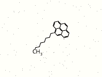 CCCCCCCCc1cc2[c]ccc3ccc4cccc1c4c23